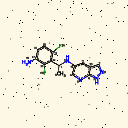 CC(Nc1cnc2[nH]ncc2c1)c1c(F)ccc(N)c1F